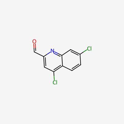 O=Cc1cc(Cl)c2ccc(Cl)cc2n1